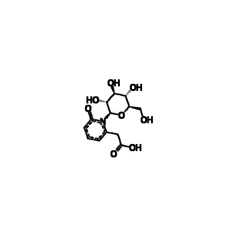 O=C(O)Cc1cccc(=O)n1[C@@H]1O[C@H](CO)[C@@H](O)[C@H](O)[C@H]1O